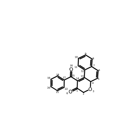 O=C1COC2C=Cc3ccccc3C2=C1C(=O)c1ccccc1